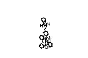 O=C(N[C@H](Cc1ccccc1)C(O)(c1ccccc1)c1ccccc1)N[C@H]1CC[C@H](CCN2[C@@H]3CC[C@H]2c2ccccc23)CC1